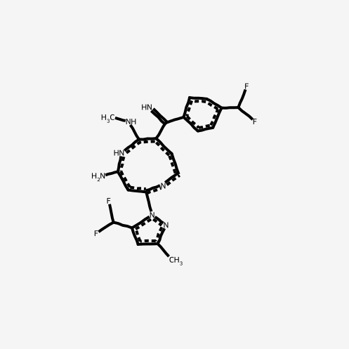 CNc1[nH]c(N)cc(-n2nc(C)cc2C(F)F)nccc1C(=N)c1ccc(C(F)F)cc1